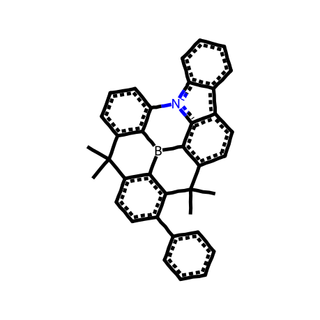 CC1(C)c2cccc3c2B2c4c1ccc(-c1ccccc1)c4C(C)(C)c1ccc4c5ccccc5n-3c4c12